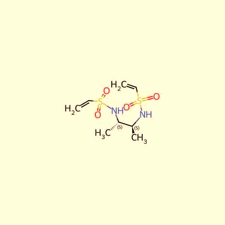 C=CS(=O)(=O)N[C@@H](C)[C@H](C)NS(=O)(=O)C=C